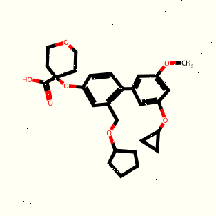 COc1cc(OC2CC2)cc(-c2ccc(OC3(C(=O)O)CCOCC3)cc2COC2CCCC2)c1